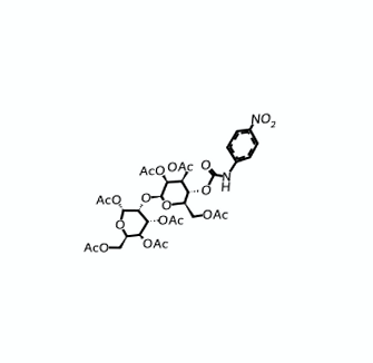 CC(=O)OC[C@H]1O[C@H](OC(C)=O)[C@H](O[C@@H]2O[C@H](COC(C)=O)[C@@H](OC(=O)Nc3ccc([N+](=O)[O-])cc3)[C@H](OC(C)=O)[C@@H]2OC(C)=O)[C@H](OC(C)=O)[C@H]1OC(C)=O